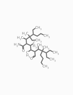 CCCCC(C)(C(CC)CC)C(C)C(C=O)C(C)C(C)C(C(N)=O)C(C)C(C)(CC)C(CC)CCC